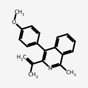 C=C(C)c1nc(C)c2ccccc2c1-c1ccc(OC)cc1